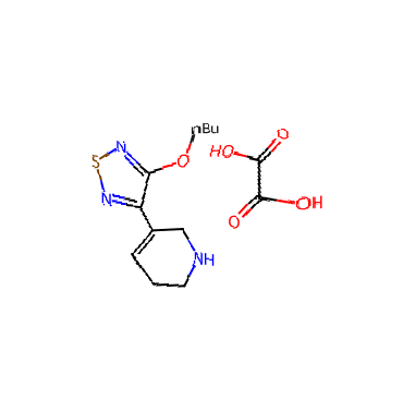 CCCCOc1nsnc1C1=CCCNC1.O=C(O)C(=O)O